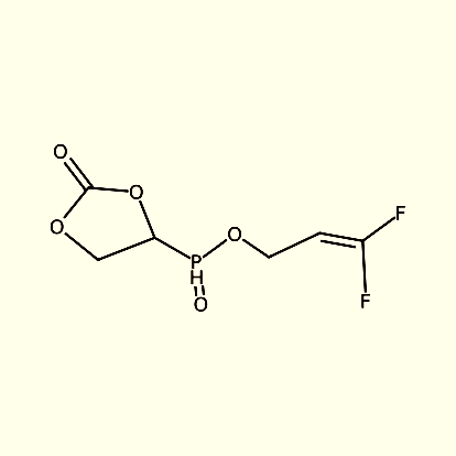 O=C1OCC([PH](=O)OCC=C(F)F)O1